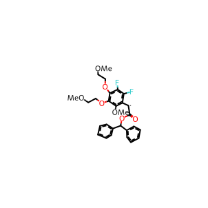 COCCOc1c(F)c(F)c([CH]C(=O)OC(c2ccccc2)c2ccccc2)c(OC)c1OCCOC